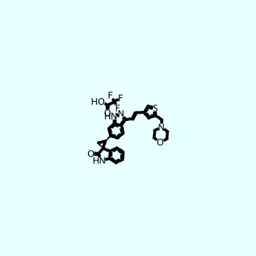 O=C(O)C(F)(F)F.O=C1Nc2ccccc2[C@]12C[C@H]2c1ccc2c(C=Cc3csc(CN4CCOCC4)c3)n[nH]c2c1